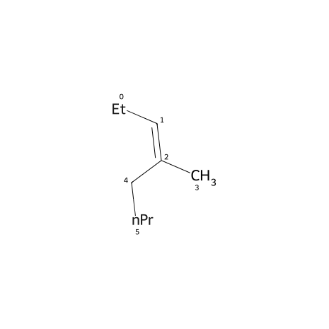 CCC=C(C)CCCC